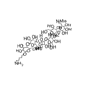 CNCCC1O[C@@H](OC2C(O)[C@@H](O)C(CO)O[C@H]2OC2C(NC(C)=O)[C@H](OC3[C@@H](O)C4(CO)O[C@H](O[C@H]5C(CO)O[C@@H](O[C@@H]6C(CO)O[C@@H](OCCCCCN)[C@@H](O)C6O)C(O)C5O)C34O)OC(CO)[C@@H]2O)C(O)C(O)[C@@H]1O